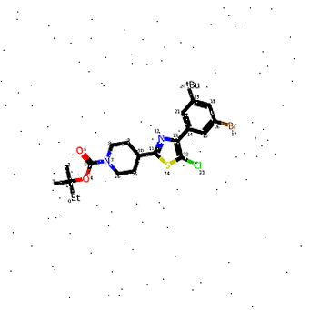 CCC(C)(C)OC(=O)N1CCC(c2nc(-c3cc(Br)cc(C(C)(C)C)c3)c(Cl)s2)CC1